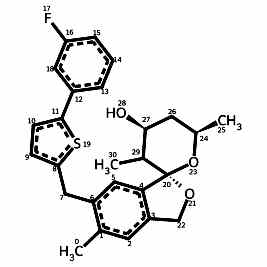 Cc1cc2c(cc1Cc1ccc(-c3cccc(F)c3)s1)[C@]1(OC2)O[C@H](C)C[C@H](O)C1C